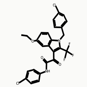 CCOc1ccc2c(c1)c(C(=O)C(=O)Nc1ccc(Cl)cc1)c(C(F)(F)F)n2Cc1ccc(Cl)cc1